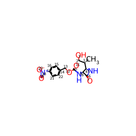 C[C@@H](CO)[C@H]1NC(=O)[C@H]1NC(=O)OCc1ccc([N+](=O)[O-])cc1